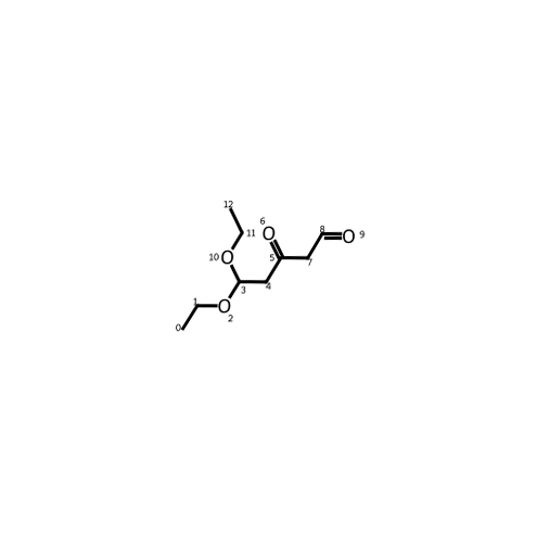 CCOC(CC(=O)CC=O)OCC